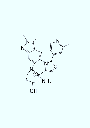 Cc1cc(C2OC=C(C(N)=O)N2c2cc3c(C)n(C)nc3cc2N2CCC(O)CC2)ccn1